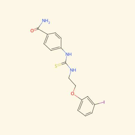 NC(=O)c1ccc(NC(=S)NCCOc2cccc(I)c2)cc1